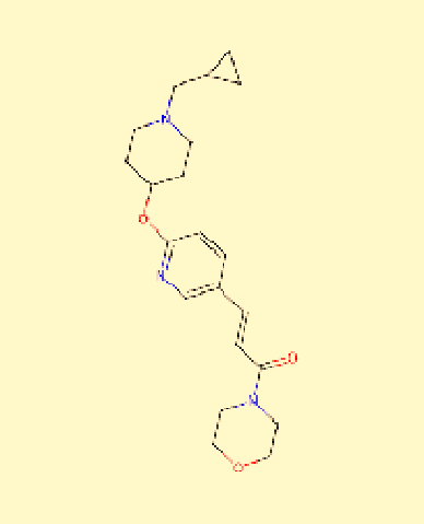 O=C(/C=C/c1ccc(OC2CCN(CC3CC3)CC2)nc1)N1CCOCC1